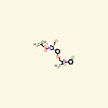 Cc1oc(-c2cccc(Cl)c2)nc1CCOc1cccc([C@@H]2CN(C(=O)OCC(C)C)C[C@@H]2CC=O)c1